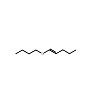 CCCC=COCCCC